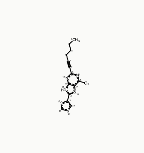 CCCCC#Cc1nc(Cl)c2nc(-c3cncs3)[nH]c2n1